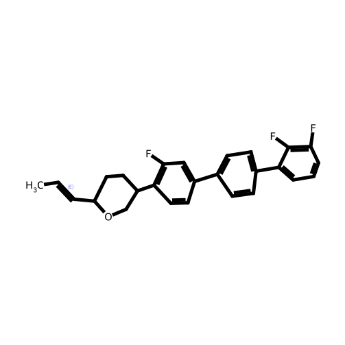 C/C=C/C1CCC(c2ccc(-c3ccc(-c4cccc(F)c4F)cc3)cc2F)CO1